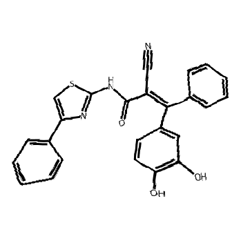 N#C/C(C(=O)Nc1nc(-c2ccccc2)cs1)=C(\c1ccccc1)c1ccc(O)c(O)c1